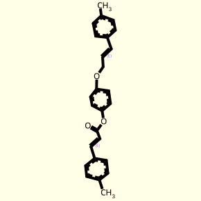 Cc1ccc(/C=C/COc2ccc(OC(=O)/C=C/c3ccc(C)cc3)cc2)cc1